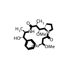 CCCC[C@@H](CC(=O)N1CCC[C@H]1[C@H](OC)[C@@H](C)C(=O)N[C@H](C)[C@@H](O)c1ccccc1)OC